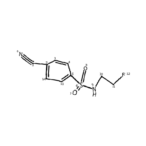 N#Cc1ccc(S(=O)(=O)NCCF)cc1